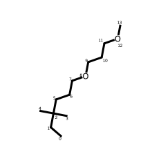 CCC(C)(C)CCCOCCCOC